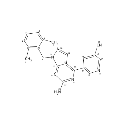 Cc1cccc(C)c1Cn1ncc2c(-c3cncc(C#N)c3)nc(N)nc21